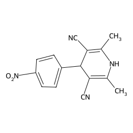 CC1=C(C#N)C(c2ccc([N+](=O)[O-])cc2)C(C#N)=C(C)N1